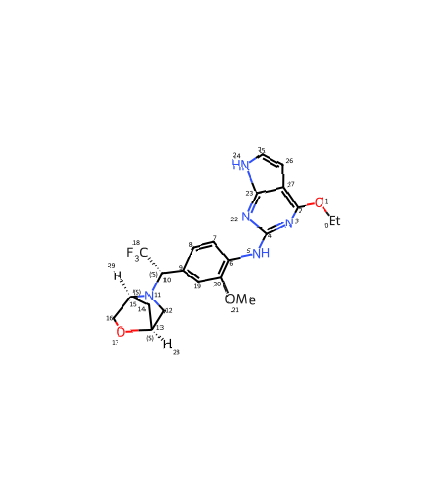 CCOc1nc(Nc2ccc([C@H](N3C[C@@H]4C[C@H]3CO4)C(F)(F)F)cc2OC)nc2[nH]ccc12